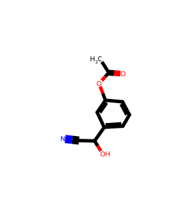 CC(=O)Oc1cccc(C(O)C#N)c1